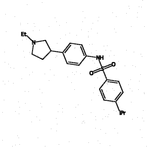 CCN1CCC(c2ccc(NS(=O)(=O)c3ccc(C(C)C)cc3)cc2)C1